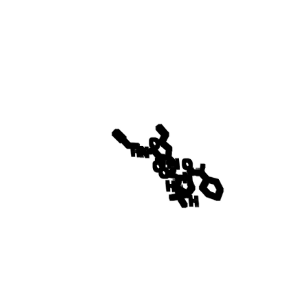 C#CCCNC(=O)C(=O)C(CCC=C)NC(=O)[C@@H]1[C@@H]2[C@H](CN1C(=O)[C@@H](C)C1CCCCC1)C2(C)C